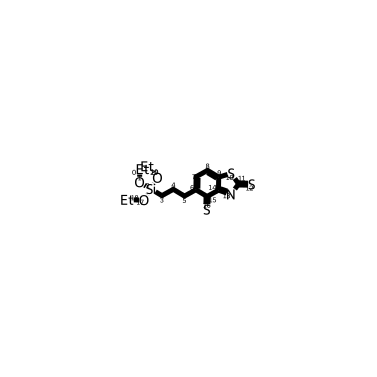 CCO[Si](CCCC1=CC=C2SC(=S)N=C2C1=S)(OCC)OCC